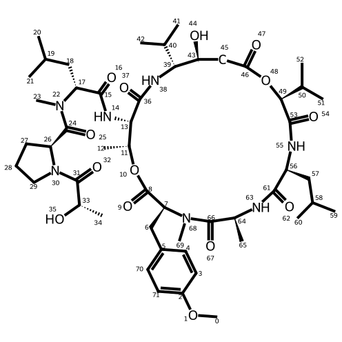 COc1ccc(C[C@H]2C(=O)O[C@H](C)[C@H](NC(=O)[C@@H](CC(C)C)N(C)C(=O)[C@@H]3CCCN3C(=O)[C@H](C)O)C(=O)N[C@H](C(C)C)[C@@H](O)CC(=O)O[C@@H](C(C)C)C(=O)N[C@@H](CC(C)C)C(=O)N[C@@H](C)C(=O)N2C)cc1